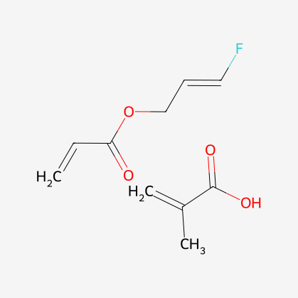 C=C(C)C(=O)O.C=CC(=O)OCC=CF